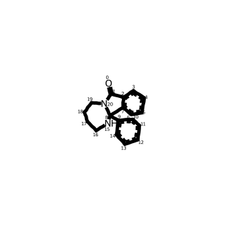 O=C1c2ccccc2C2(c3ccccc3)NCCCCN12